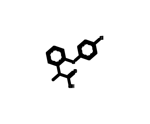 CC(C(=O)O)c1ccccc1Oc1ccc(Cl)cc1